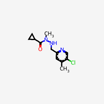 Cc1cc(CNN(C)C(=O)C2CC2)ncc1Cl